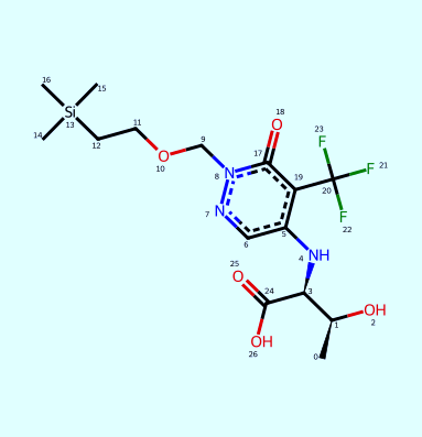 C[C@H](O)[C@H](Nc1cnn(COCC[Si](C)(C)C)c(=O)c1C(F)(F)F)C(=O)O